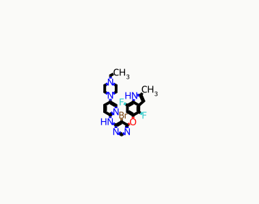 CCN1CCN(c2ccc(Nc3ncnc(Oc4cc(F)c5[nH]c(C)cc5c4F)c3Br)nc2)CC1